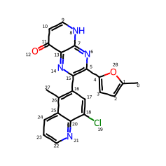 Cc1ccc(-c2nc3[nH]ccc(=O)c3nc2-c2cc(Cl)c3ncccc3c2C)o1